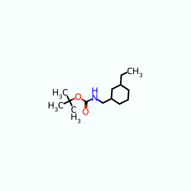 CCC1CCCC(CNC(=O)OC(C)(C)C)C1